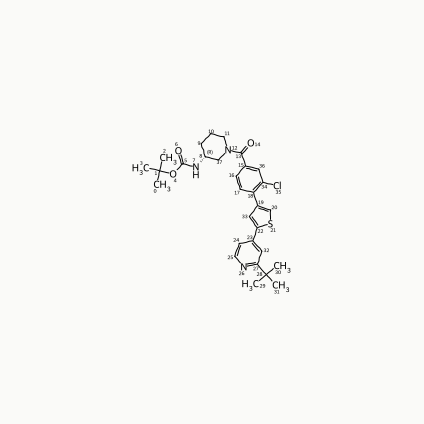 CC(C)(C)OC(=O)N[C@@H]1CCCN(C(=O)c2ccc(-c3csc(-c4ccnc(C(C)(C)C)c4)c3)c(Cl)c2)C1